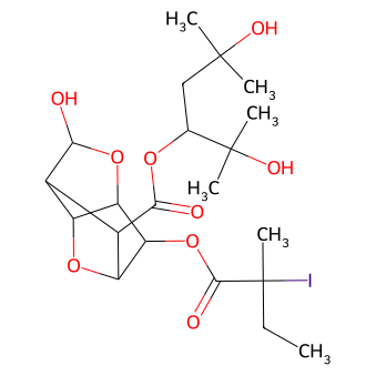 CCC(C)(I)C(=O)OC1C2OC(O)C3C2OC1C3C(=O)OC(CC(C)(C)O)C(C)(C)O